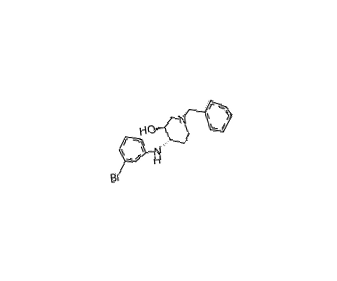 O[C@H]1CN(Cc2ccccc2)CC[C@@H]1Nc1cccc(Br)c1